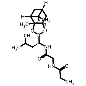 CCC(=O)NCC(=O)N[C@@H](CC(C)C)B1OC2C[C@H]3C[C@H](C3(C)C)[C@@]2(C)O1